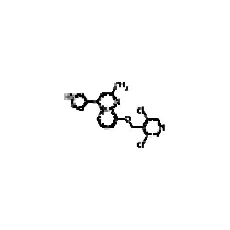 Cc1cc(-c2cc[nH]c2)c2cccc(OCc3c(Cl)cncc3Cl)c2n1